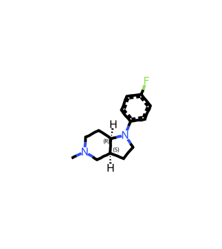 CN1CC[C@@H]2[C@@H](CCN2c2ccc(F)cc2)C1